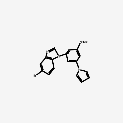 CC(=O)Nc1cc(-n2cccc2)cc(-n2cnc3cc(Br)ccc32)c1